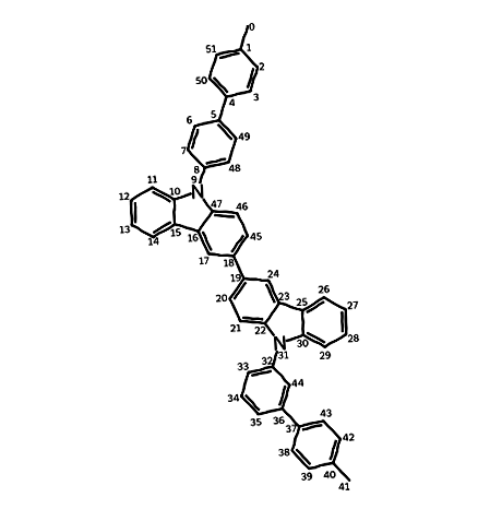 Cc1ccc(-c2ccc(-n3c4ccccc4c4cc(-c5ccc6c(c5)c5ccccc5n6-c5cccc(-c6ccc(C)cc6)c5)ccc43)cc2)cc1